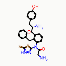 NCC(=O)N(c1n[nH]c(=S)s1)c1cccc(C(=O)[C@@H](N)Cc2ccc(O)cc2)c1Cc1ccccc1